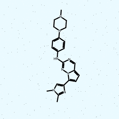 Cc1nc(-c2ccc3cnc(Nc4ccc(N5CCN(C)CC5)cc4)nn23)cn1C